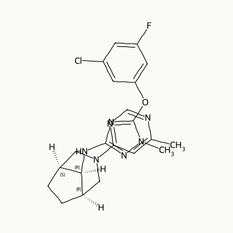 Cc1cc(N2C[C@H]3CC[C@@H](C2)[C@H]3Nc2nc(Oc3cc(F)cc(Cl)c3)n(C)n2)ncn1